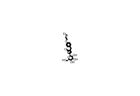 CCOCCOc1ccc(Cc2cc([C@@H]3O[C@H](CO)[C@@H](O)[C@H](O)[C@H]3O)sc2Cl)cc1